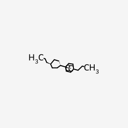 CCCC12CCC([C@H]3CC[C@H](CCC)CC3)(CC1)CC2